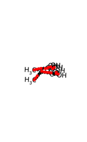 CCCCCCCC/C=C\CCCCCCCC(=O)OCCN(CCO)CCO.CCCCCCCCCCCC(=O)OC[C@@H](O)[C@H]1OC[C@H](O)[C@H]1O